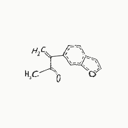 C=C(C(C)=O)c1ccc2ccoc2c1